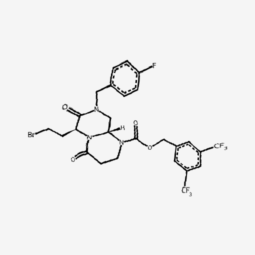 O=C1[C@H](CCBr)N2C(=O)CCN(C(=O)OCc3cc(C(F)(F)F)cc(C(F)(F)F)c3)[C@H]2CN1Cc1ccc(F)cc1